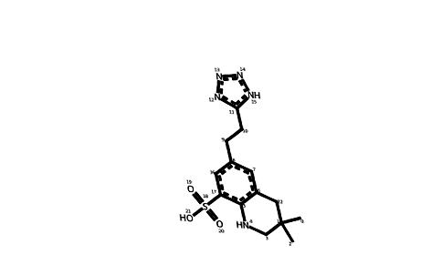 CC1(C)CNc2c(cc(CCc3nnn[nH]3)cc2S(=O)(=O)O)C1